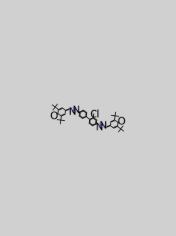 CC(C)(C)C1=CC(=C/N=N/c2ccc(-c3ccc(/N=N/C=C4C=C(C(C)(C)C)C(=O)C(C(C)(C)C)=C4)cc3Cl)cc2)C=C(C(C)(C)C)C1=O